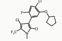 Cn1c(Cl)c(-c2cc(OC3CCCC3)c(Cl)cc2F)c(Cl)c1C(F)(F)F